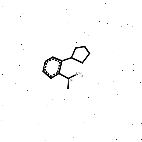 C[C@H](N)c1ccccc1C1CCCC1